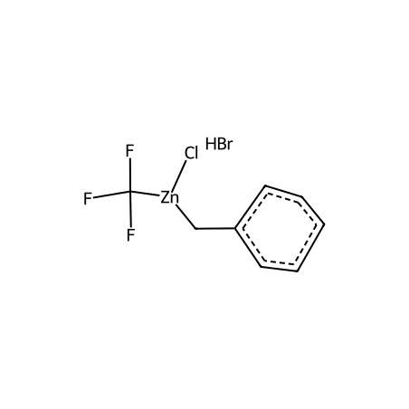 Br.F[C](F)(F)[Zn]([Cl])[CH2]c1ccccc1